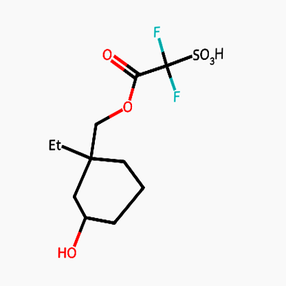 CCC1(COC(=O)C(F)(F)S(=O)(=O)O)CCCC(O)C1